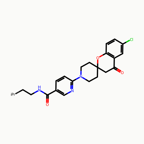 CC(C)CCNC(=O)c1ccc(N2CCC3(CC2)CC(=O)c2cc(Cl)ccc2O3)nc1